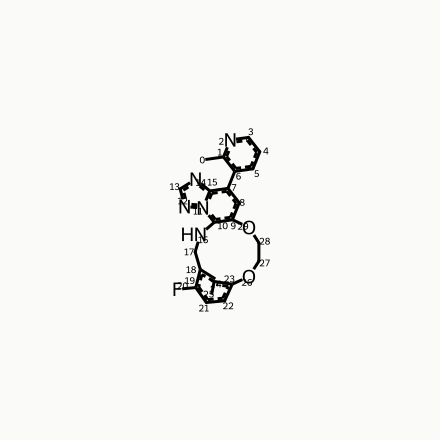 Cc1ncccc1-c1cc2c(n3ncnc13)NCc1c(F)ccc(c1C)OCCO2